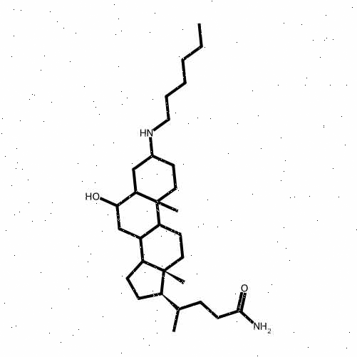 CCCCCCNC1CCC2(C)C(C1)C(O)CC1C2CC[C@@]2(C)C1CC[C@@H]2C(C)CCC(N)=O